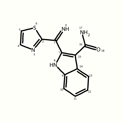 N=C(c1nccs1)c1[nH]c2ccccc2c1C(N)=O